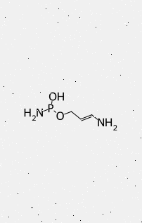 NC=CCOP(N)O